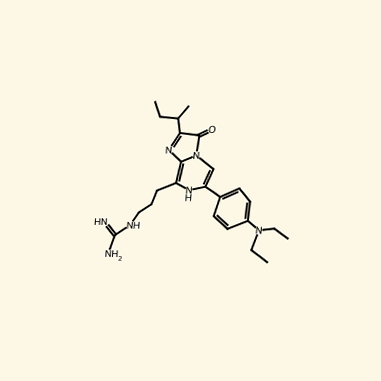 CCC(C)c1nc2c(CCCNC(=N)N)[nH]c(-c3ccc(N(CC)CC)cc3)cn-2c1=O